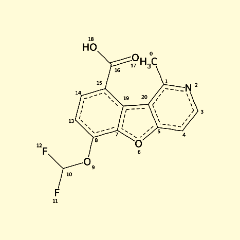 Cc1nccc2oc3c(OC(F)F)ccc(C(=O)O)c3c12